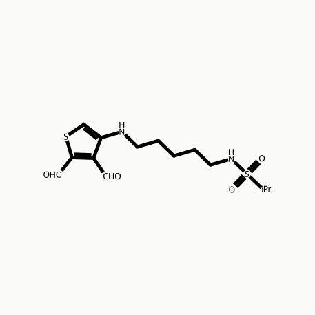 CC(C)S(=O)(=O)NCCCCCNc1csc(C=O)c1C=O